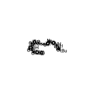 CC(C)(C)c1cc(NC(=O)Nc2ccc(-n3cnc4cc(OCCCCC(=O)Nc5cccc6c5CN(C5CCC(=O)N(COC(=O)N7CCC(N8CCOCC8)CC7)C5=O)C6=O)ccc43)cc2)no1